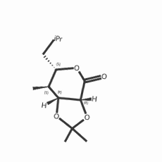 CC(C)C[C@@H]1OC(=O)[C@@H]2OC(C)(C)O[C@@H]2[C@H]1C